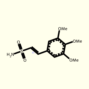 COc1cc(/C=C/S(N)(=O)=O)cc(OC)c1OC